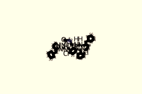 O=C(/C=C\C(=O)ONC(=NCc1ccccc1Cl)Nc1ncccc1Cc1ccccc1)ONC(=NCc1ccccc1Cl)Nc1ncccc1Cc1ccccc1